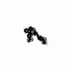 COC(=O)c1ccc2c(C3CCCCC3)c3n(c2c1)CC1(COc2ccccc2-3)CN(CCN2CCN(C(=O)OC(C)(C)C)CC2)C1